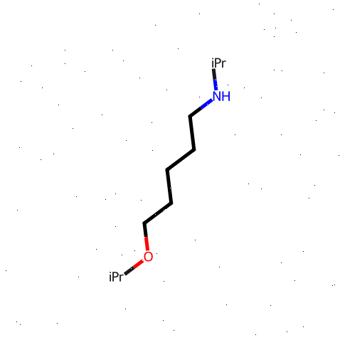 CC(C)NCCCCCOC(C)C